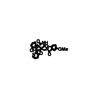 COc1ccc2c(c1)C(=O)N(C[C@@]1(c3oc4cccnc4c3-c3ncccc3O)NC(=O)NC1=O)C2